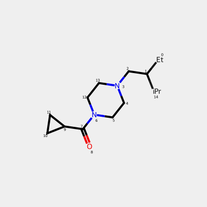 CCC(CN1CCN(C(=O)C2CC2)CC1)C(C)C